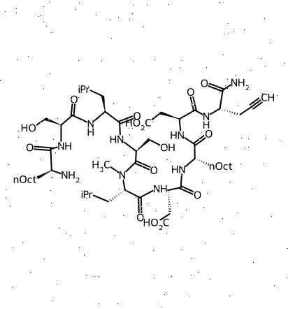 C#CC[C@H](NC(=O)[C@H](CC(=O)O)NC(=O)[C@H](CCCCCCCC)NC(=O)[C@H](CC(=O)O)NC(=O)[C@H](CC(C)C)N(C)C(=O)[C@H](CO)NC(=O)[C@H](CC(C)C)NC(=O)[C@H](CO)NC(=O)[C@@H](N)CCCCCCCC)C(N)=O